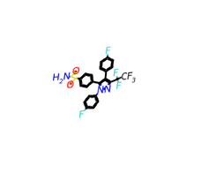 NS(=O)(=O)c1ccc(-c2c(-c3ccc(F)cc3)c(C(F)(F)C(F)(F)F)nn2-c2ccc(F)cc2)cc1